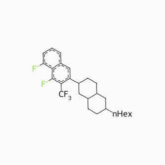 CCCCCCC1CCC2CC(c3cc4cccc(F)c4c(F)c3C(F)(F)F)CCC2C1